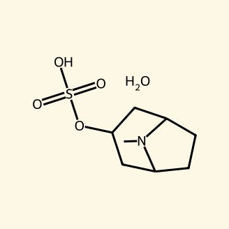 CN1C2CCC1CC(OS(=O)(=O)O)C2.O